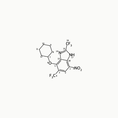 O=[N+]([O-])c1cc(C(F)(F)F)c(OC2CCCCC2)c2nc(C(F)(F)F)[nH]c12